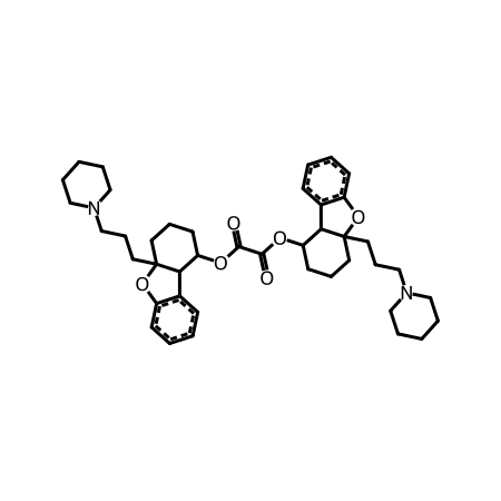 O=C(OC1CCCC2(CCCN3CCCCC3)Oc3ccccc3C12)C(=O)OC1CCCC2(CCCN3CCCCC3)Oc3ccccc3C12